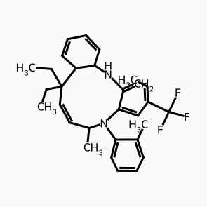 C=C1NC2C=CC=CC2C(CC)(CC)/C=C\C(C)N(c2ccccc2C)/C1=C/C(=C\C)C(F)(F)F